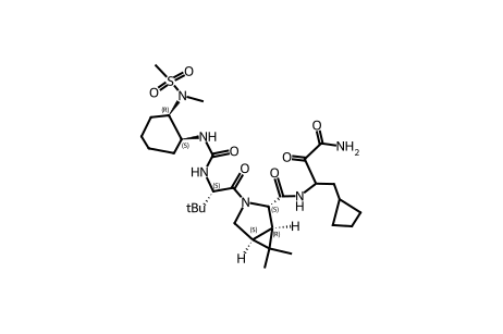 CN([C@@H]1CCCC[C@@H]1NC(=O)N[C@H](C(=O)N1C[C@H]2[C@@H]([C@H]1C(=O)NC(CC1CCC1)C(=O)C(N)=O)C2(C)C)C(C)(C)C)S(C)(=O)=O